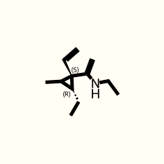 C=C[C@]1(C(=C)NCC)C(C)[C@H]1CC